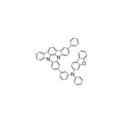 c1ccc(-c2ccc3c(c2)c2ccc4c5ccccc5n5c6ccc(-c7cccc(N(c8ccccc8)c8ccc9c(c8)oc8ccccc89)c7)cc6n3c2c45)cc1